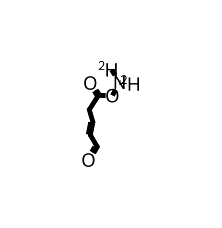 [2H]N([2H])OC(=O)CC=CC=O